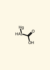 O=C(O)[AsH][Hg]